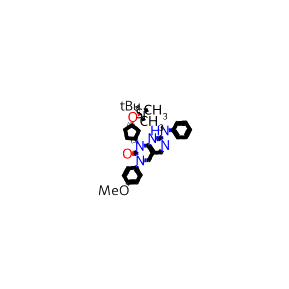 COc1ccc(N2Cc3cnc(Nc4ccccc4)nc3N([C@H]3CC[C@H](O[Si](C)(C)C(C)(C)C)C3)C2=O)cc1